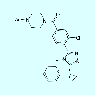 CC(=O)N1CCN(C(=O)c2ccc(-c3nnc(C4(c5ccccc5)CC4)n3C)c(Cl)c2)CC1